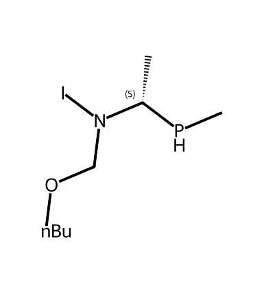 CCCCOCN(I)[C@H](C)PC